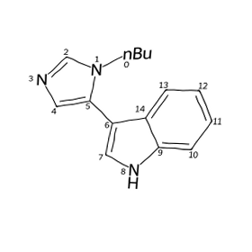 CCCCn1cncc1-c1c[nH]c2ccccc12